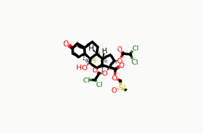 C[S+]([O-])COC(=O)[C@@]1(OC(=O)C(Cl)Cl)[C@H](OC(=O)C(Cl)Cl)C[C@H]2[C@@H]3CCC4=CC(=O)C=C[C@]4(C)[C@@]3(F)[C@@H](O)C[C@@]21C